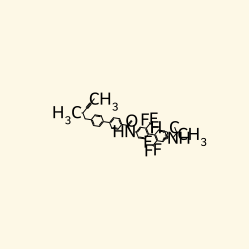 CC#CC(C)Cc1ccc(-c2ccc(C(=O)Nc3ccc(-c4ccc(NC(C)C)cc4C(F)(F)F)c(C(F)(F)F)c3)cc2)cc1